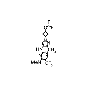 CNc1nc(Nc2cn([C@H]3C[C@H](OC(F)F)C3)nc2C)ncc1C(F)(F)F